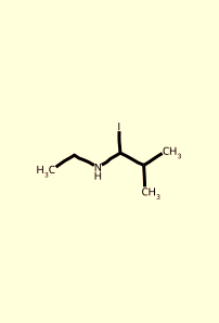 CCNC(I)C(C)C